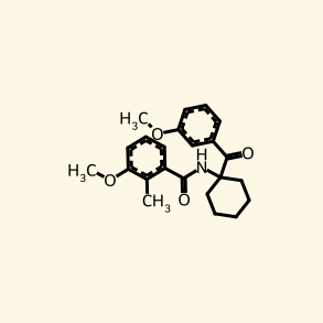 COc1cccc(C(=O)C2(NC(=O)c3cccc(OC)c3C)CCCCC2)c1